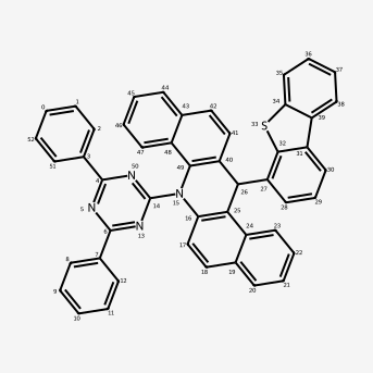 c1ccc(-c2nc(-c3ccccc3)nc(N3c4ccc5ccccc5c4C(c4cccc5c4sc4ccccc45)c4ccc5ccccc5c43)n2)cc1